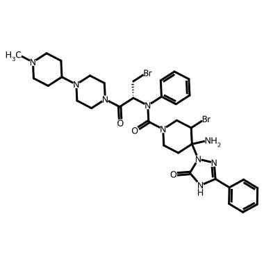 CN1CCC(N2CCN(C(=O)[C@H](CBr)N(C(=O)N3CCC(N)(n4nc(-c5ccccc5)[nH]c4=O)C(Br)C3)c3ccccc3)CC2)CC1